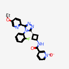 CCOc1ccc(-c2nnc([C@H]3C[C@H](NC(=O)c4ccc[n+]([O-])c4)C3)n2-c2ccccc2F)nc1